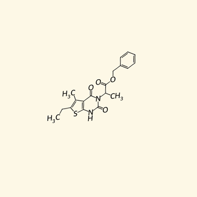 CCc1sc2[nH]c(=O)n(C(C)C(=O)OCc3ccccc3)c(=O)c2c1C